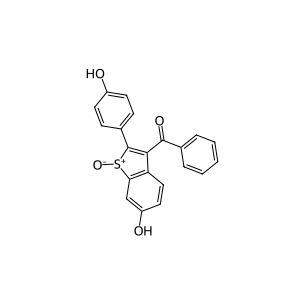 O=C(c1ccccc1)c1c(-c2ccc(O)cc2)[s+]([O-])c2cc(O)ccc12